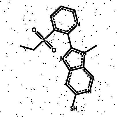 CCS(=O)(=O)c1cccnc1-c1nc2cc(S)ncc2n1C